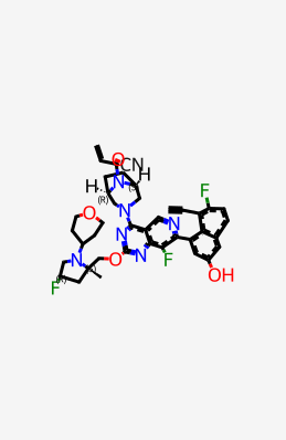 C#Cc1c(F)ccc2cc(O)cc(-c3ncc4c(N5C[C@H]6CC(C#N)[C@@H](C5)N6C(=O)C=C)nc(OC[C@]5(C)C[C@@H](F)CN5C5CCOCC5)nc4c3F)c12